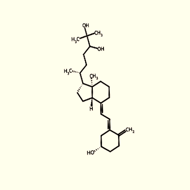 C=C1CC[C@H](O)CC1=CC=C1CCC[C@]2(C)[C@@H]([C@H](C)CCC(O)C(C)(C)O)CC[C@@H]12